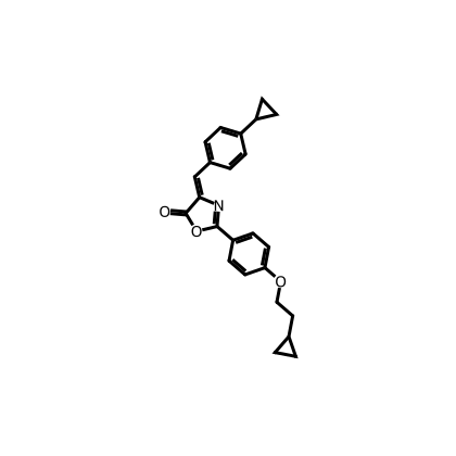 O=C1OC(c2ccc(OCCC3CC3)cc2)=NC1=Cc1ccc(C2CC2)cc1